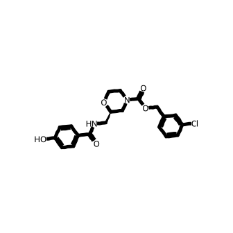 O=C(NC[C@@H]1CN(C(=O)OCc2cccc(Cl)c2)CCO1)c1ccc(O)cc1